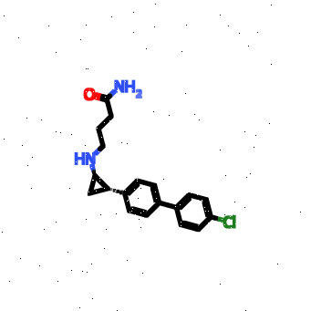 NC(=O)CCCN[C@@H]1C[C@H]1c1ccc(-c2ccc(Cl)cc2)cc1